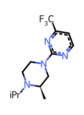 CC(C)N1CCN(c2nccc(C(F)(F)F)n2)C[C@H]1C